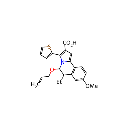 C=CCOC1C(CC)c2cc(OC)ccc2-c2cc(C(=O)O)c(-c3cccs3)n21